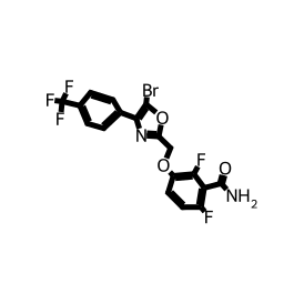 NC(=O)c1c(F)ccc(OCc2nc(-c3ccc(C(F)(F)F)cc3)c(Br)o2)c1F